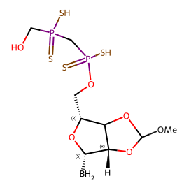 B[C@@H]1O[C@H](COP(=S)(S)CP(=S)(S)CO)C2OC(OC)O[C@@H]21